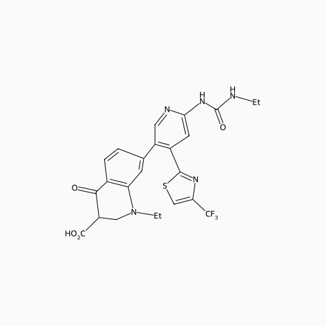 CCNC(=O)Nc1cc(-c2nc(C(F)(F)F)cs2)c(-c2ccc3c(c2)N(CC)CC(C(=O)O)C3=O)cn1